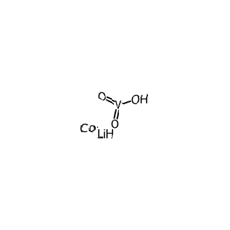 [Co].[LiH].[O]=[V](=[O])[OH]